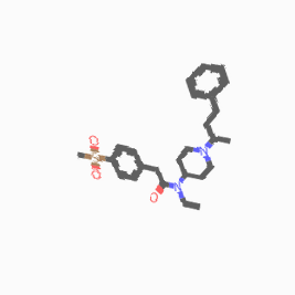 CCN(C(=O)Cc1ccc(S(C)(=O)=O)cc1)C1CCN(C(C)CCc2ccccc2)CC1